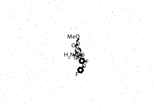 COCCOC(=O)N1CCN(S(=O)(=O)c2ccc(Oc3ccc(F)cc3)c(F)c2)[C@@H](C(N)=O)C1